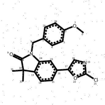 COc1ccc(CN2C(=O)C(C)(C)c3ccc(-c4cnc(Cl)o4)cc32)cc1